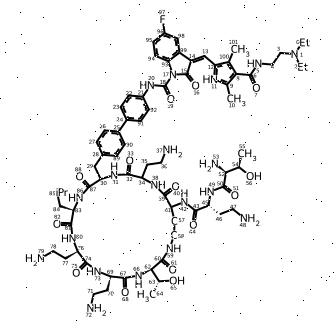 CCN(CC)CCNC(=O)c1c(C)[nH]c(/C=C2\C(=O)N(C(=O)Nc3ccc(-c4ccc(CC5NC(=O)C(CCN)NC(=O)C(NC(=O)[C@@H](CCN)NC(=O)[C@@H](N)[C@@H](C)O)CCNC(=O)[C@@H]([C@@H](C)O)NC(=O)[C@@H](CCN)NC(=O)[C@@H](CCN)NC(=O)[C@@H](CC(C)C)NC5=O)cc4)cc3)c3ccc(F)cc32)c1C